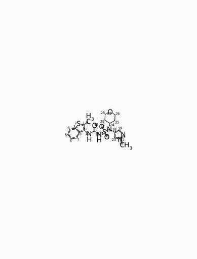 Cc1sc2ccccc2c1NC(=O)NS(=O)(=O)N(c1cnn(C)c1)C1CCOCC1